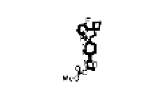 COC(=O)Oc1coc(-c2ccc(NCC3(c4ncccc4F)CCC3)nn2)n1